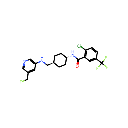 O=C(N[C@H]1CC[C@H](CNc2cncc(CF)c2)CC1)c1cc(C(F)(F)F)ccc1Cl